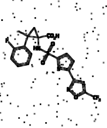 CC1(c2ccccc2F)CC1(NS(=O)(=O)c1ccc(-c2cc(C(F)(F)F)on2)s1)C(=O)O